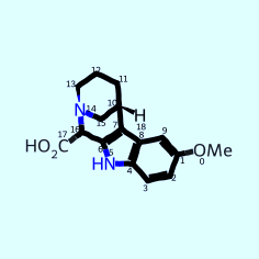 COc1ccc2[nH]c3c(c2c1)[C@H]1CCC[N@@](C1)C3C(=O)O